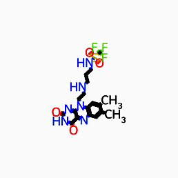 Cc1cc2nc3c(=O)[nH]c(=O)nc-3n(CCNCCCNS(=O)(=O)C(F)(F)F)c2cc1C